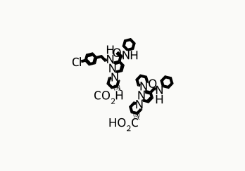 O=C(O)C[C@@H]1CCCN(c2ccc(C(=O)NC3CCCCC3)c(N3CCCCC3)n2)C1.O=C(O)C[C@@H]1CCCN(c2ccc(C(=O)NC3CCCCC3)c(NCCc3ccc(Cl)cc3)n2)C1